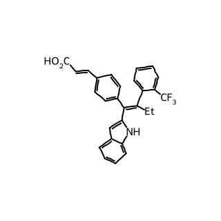 CC/C(=C(/c1ccc(/C=C/C(=O)O)cc1)c1cc2ccccc2[nH]1)c1ccccc1C(F)(F)F